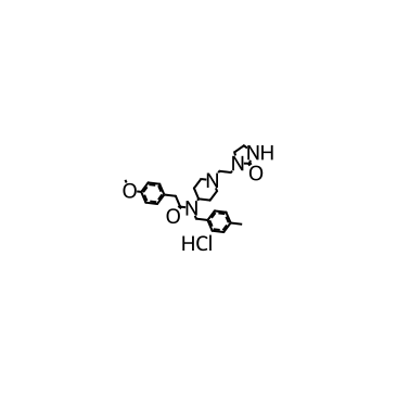 COc1ccc(CC(=O)N(Cc2ccc(C)cc2)C2CCN(CCN3CCNC3=O)CC2)cc1.Cl